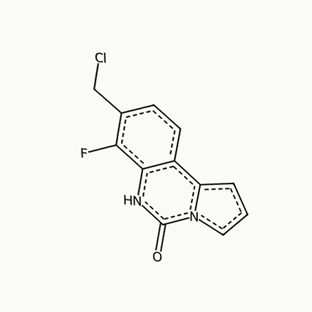 O=c1[nH]c2c(F)c(CCl)ccc2c2cccn12